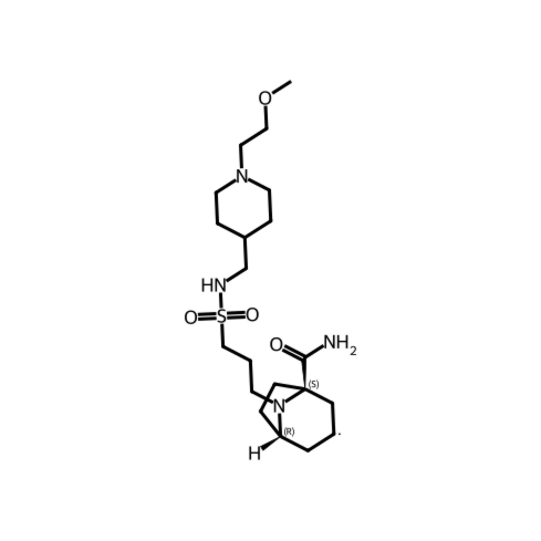 COCCN1CCC(CNS(=O)(=O)CCCN2[C@@H]3C[CH]C[C@@]2(C(N)=O)CC3)CC1